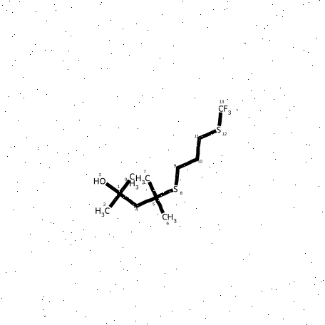 CC(C)(O)CC(C)(C)SCCCSC(F)(F)F